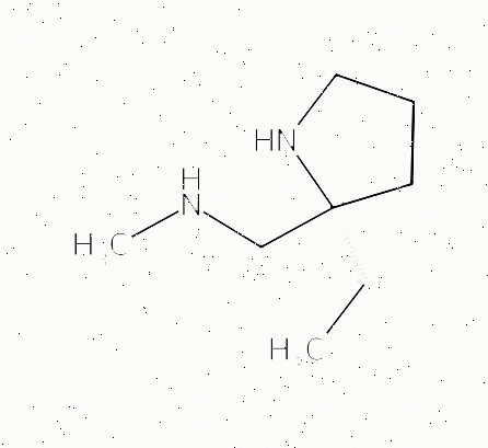 CC[C@@]1(CNC)CCCN1